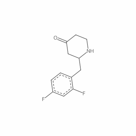 O=C1CCNC(Cc2ccc(F)cc2F)C1